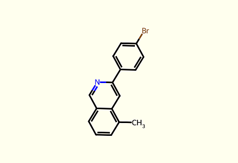 Cc1cccc2cnc(-c3ccc(Br)cc3)cc12